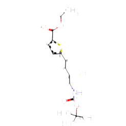 CCOC(=O)c1ccc(CC[C@H](S)CNC(=O)OC(C)(C)C)s1